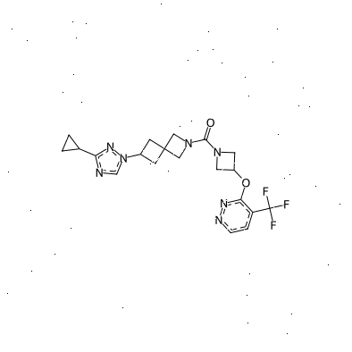 O=C(N1CC(Oc2nnccc2C(F)(F)F)C1)N1CC2(CC(n3cnc(C4CC4)n3)C2)C1